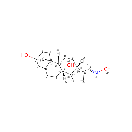 C[C@]12CCC(O)CC1CC[C@@H]1[C@H]2CC[C@]2(C)C(C=NO)CC[C@@]12O